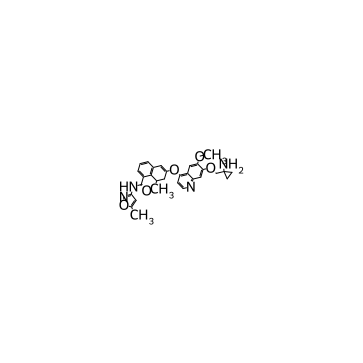 COc1cc2c(OC3=Cc4cccc(C(=O)Nc5cc(C)on5)c4C(C)C3)ccnc2cc1OCC1(N)CC1